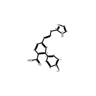 O=C(O)c1ccc(C=CCc2ncc[nH]2)cc1-c1ccc(F)cc1